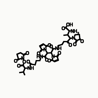 CC(C)C(NC(=O)CCCNC(=O)C(C(C(=O)NCCCC(=O)C(C(C)[C@H](N)C(=O)O)N1CCC(=O)C1=O)N1C(=O)C=CC1=O)N1C(=O)C=CC1=O)C(=O)ON1C(=O)CCC1=O